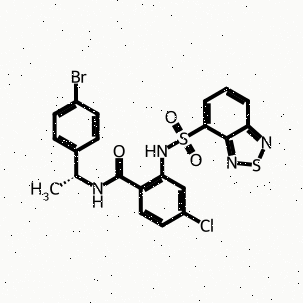 C[C@@H](NC(=O)c1ccc(Cl)cc1NS(=O)(=O)c1cccc2nsnc12)c1ccc(Br)cc1